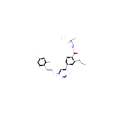 CCCc1cc(-c2cc(NCCc3c(F)cc(Br)cc3F)ncn2)ccc1C(=O)NCC(C)(C)O